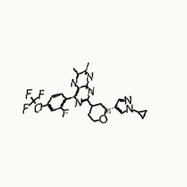 Cc1nc2nc(C3CCO[C@@H](c4cnn(C5CC5)c4)C3)nc(-c3ccc(OC(F)(F)F)cc3F)c2nc1C